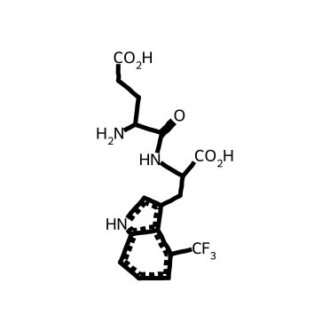 NC(CCC(=O)O)C(=O)NC(Cc1c[nH]c2cccc(C(F)(F)F)c12)C(=O)O